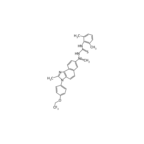 C=[N+](NC(=S)Nc1c(C)cccc1C)c1ccc2c(ccc3c2nc(C)n3-c2ccc(OCC(F)(F)F)cc2)c1